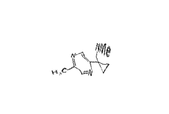 CNC1(c2cnc(C)cn2)CC1